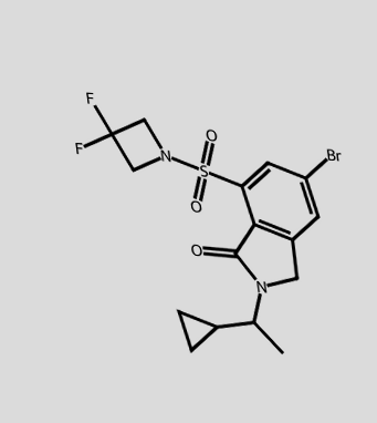 CC(C1CC1)N1Cc2cc(Br)cc(S(=O)(=O)N3CC(F)(F)C3)c2C1=O